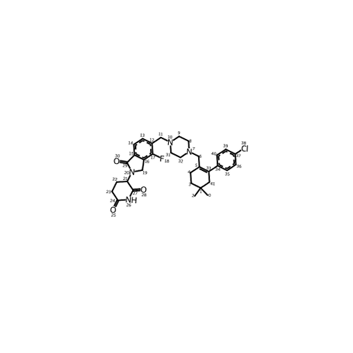 CC1(C)CCC(CN2CCN(Cc3ccc4c(c3F)CN(C3CCC(=O)NC3=O)C4=O)CC2)=C(c2ccc(Cl)cc2)C1